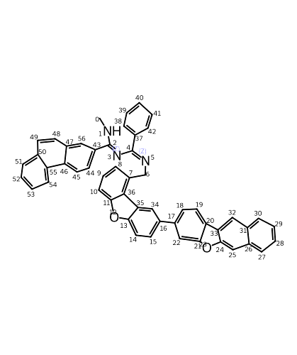 CN/C(=N\C(=N/Cc1cccc2oc3ccc(-c4ccc5c(c4)oc4cc6ccccc6cc45)cc3c12)c1ccccc1)c1ccc2c(ccc3ccccc32)c1